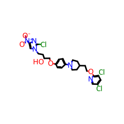 O=[N+]([O-])c1cn(CC[C@@H](O)COc2ccc(N3CCC(CCOc4ncc(Cl)cc4Cl)CC3)cc2)c(Cl)n1